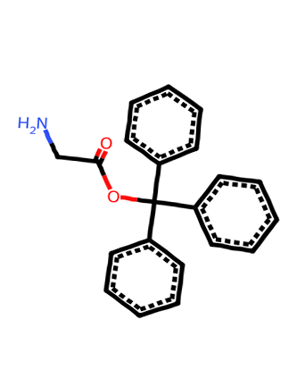 NCC(=O)OC(c1ccccc1)(c1ccccc1)c1ccccc1